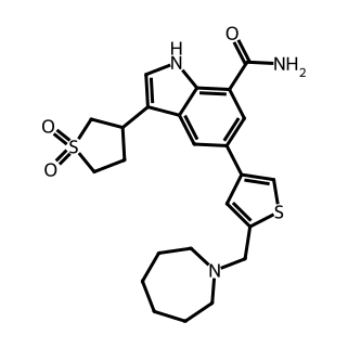 NC(=O)c1cc(-c2csc(CN3CCCCCC3)c2)cc2c(C3CCS(=O)(=O)C3)c[nH]c12